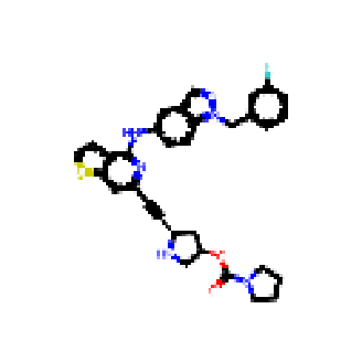 O=C(O[C@H]1CN[C@@H](C#Cc2cc3sccc3c(Nc3ccc4c(cnn4Cc4cccc(F)c4)c3)n2)C1)N1CCCC1